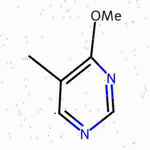 COc1ncn[c]c1C